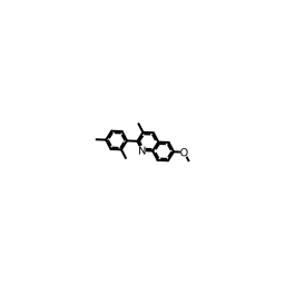 COc1ccc2nc(-c3ccc(C)cc3C)c(C)cc2c1